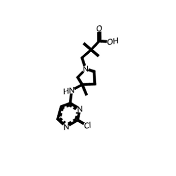 CC1(Nc2ccnc(Cl)n2)CCN(CC(C)(C)C(=O)O)C1